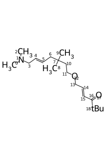 CN(C)C/C=C/CC(C)(C)CCOC/C=C/C(=O)C(C)(C)C